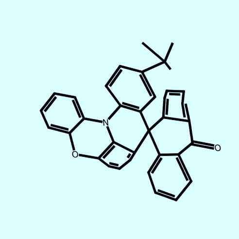 CC(C)(C)c1ccc2c(c1)C1(c3ccccc3C(=O)c3ccccc31)c1cccc3c1N2c1ccccc1O3